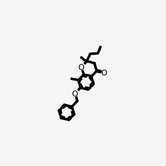 CCCC1(C)CC(=O)c2ccc(OCc3ccccc3)c(C)c2O1